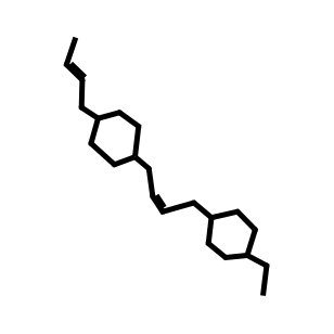 C/C=C/CC1CCC(C/C=C\CC2CCC(CC)CC2)CC1